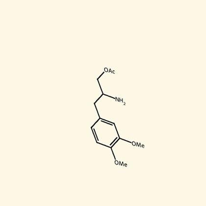 COc1ccc(CC(N)COC(C)=O)cc1OC